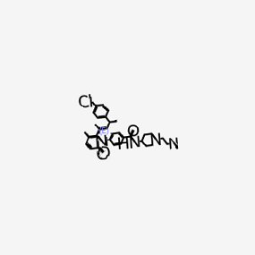 C=C(/C=C(\C)c1c(C)ccc(=O)n1-c1ccc(C(=O)NC2CCN(CCN(C)C)CC2)cc1)c1ccc(Cl)cc1